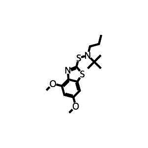 CCCN(Sc1nc2c(OC)cc(OC)cc2s1)C(C)(C)C